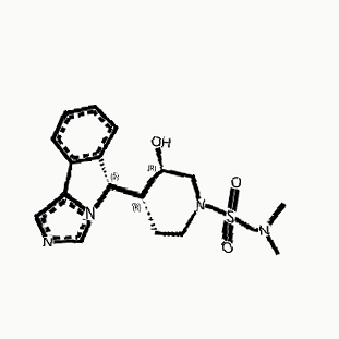 CN(C)S(=O)(=O)N1CC[C@H]([C@H]2c3ccccc3-c3cncn32)[C@@H](O)C1